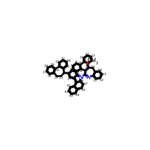 CCC1=C(c2ccccc2-c2ccccc2)C(n2c3ccc(C4CCc5ccccc5-c5ccccc54)cc3c3c4ccccc4ccc32)=Nc2ccccc2C1